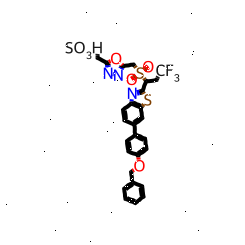 O=S(=O)(O)Cc1nnc(CS(=O)(=O)C(CC(F)(F)F)c2nc3ccc(-c4ccc(OCc5ccccc5)cc4)cc3s2)o1